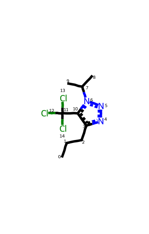 CCCc1nnn(C(C)C)c1C(Cl)(Cl)Cl